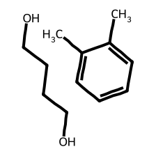 Cc1ccccc1C.OCCCCO